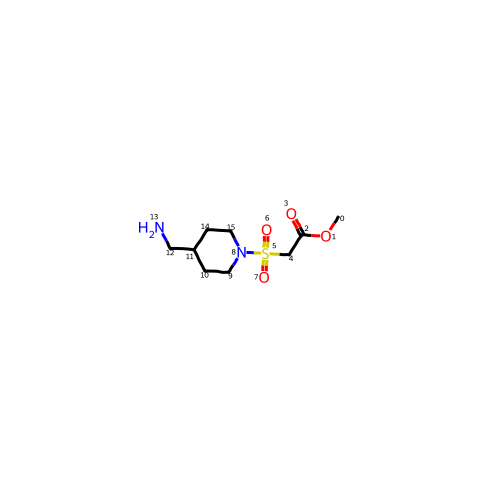 COC(=O)CS(=O)(=O)N1CCC(CN)CC1